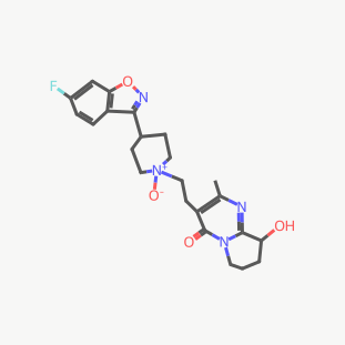 Cc1nc2n(c(=O)c1CC[N+]1([O-])CCC(c3noc4cc(F)ccc34)CC1)CCCC2O